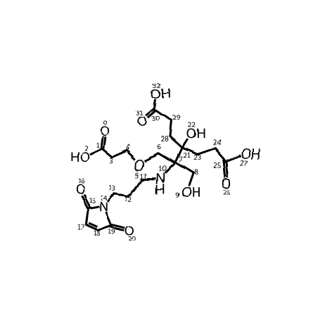 O=C(O)CCOCC(CO)(NCCCN1C(=O)C=CC1=O)C(O)(CCC(=O)O)CCC(=O)O